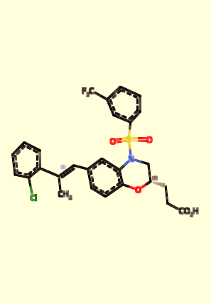 C/C(=C\c1ccc2c(c1)N(S(=O)(=O)c1cccc(C(F)(F)F)c1)C[C@H](CCC(=O)O)O2)c1ccccc1Cl